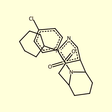 O=S(=O)(c1ccc(Cl)cc1)N1C2CCCC1c1cnn(C3CCCCC3)c1C2